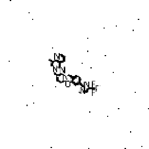 CC(C)c1ncccc1-c1ncc2c(n1)N(Cc1ccc(-c3nc(C(F)(F)F)cn3C)cc1)C(=O)CC2